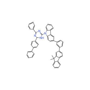 CC1(C)c2ccccc2-c2ccc(-c3cccc(-c4ccc5c(c4)c4ccccc4n5C4=NC(c5ccccc5)=NC(c5ccc(-c6ccccc6)cc5)N4)c3)cc21